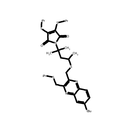 CC(C)SCc1nc2cc(C(C)(C)C)ccc2nc1CSC(C)CC(C)(C)N1C(=O)C(SC(C)C)=C(SC(C)C)C1=O